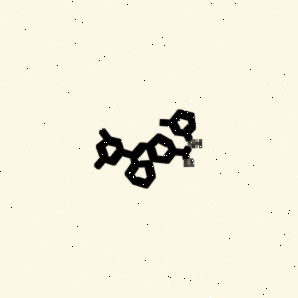 CCC(Nc1cccc(C)c1)c1ccc(C=C(c2ccccc2)c2cc(C)cc(C)c2)cc1